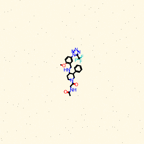 COc1ccc(-n2nnnc2C(F)(F)F)cc1CNC1CCN(C(=O)CNC(C)=O)CC1c1ccccc1